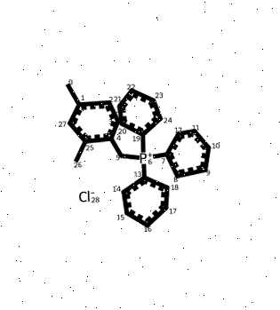 Cc1ccc(C[P+](c2ccccc2)(c2ccccc2)c2ccccc2)c(C)c1.[Cl-]